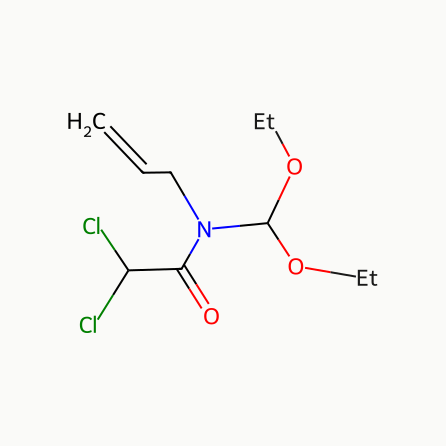 C=CCN(C(=O)C(Cl)Cl)C(OCC)OCC